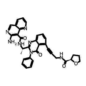 C[C@H](NC(=O)c1c(N)ncc2cccnc12)c1nc2cccc(C#CCNC(=O)[C@H]3CCCO3)c2c(=O)n1-c1ccccc1